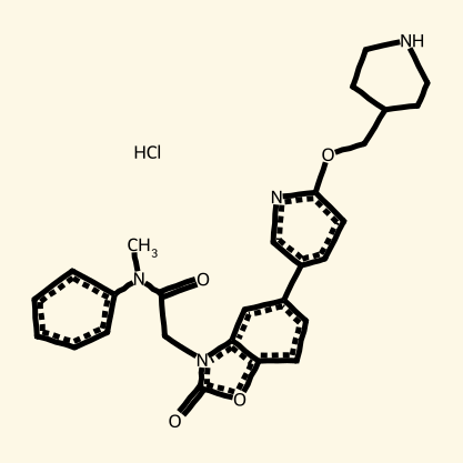 CN(C(=O)Cn1c(=O)oc2ccc(-c3ccc(OCC4CCNCC4)nc3)cc21)c1ccccc1.Cl